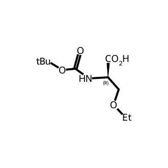 CCOC[C@@H](NC(=O)OC(C)(C)C)C(=O)O